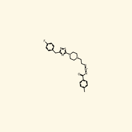 Cc1ccc(C(=O)N=[N+]=NCCN2CCN(c3nc(Cc4ccc(F)cc4)ns3)CC2)cc1